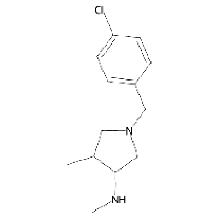 CNC1CN(Cc2ccc(Cl)cc2)CC1C